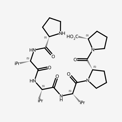 CC(C)[C@H](NC(=O)[C@@H]1CCCN1)C(=O)N[C@H](C(=O)N[C@H](C(=O)N1CCC[C@H]1C(=O)N1CCC[C@H]1C(=O)O)C(C)C)C(C)C